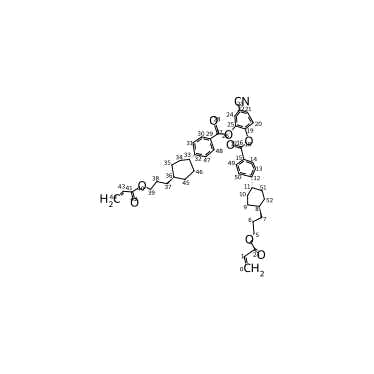 C=CC(=O)OCCC[C@H]1CC[C@H](c2ccc(C(=O)Oc3ccc(C#N)cc3OC(=O)c3ccc([C@H]4CC[C@H](CCCOC(=O)C=C)CC4)cc3)cc2)CC1